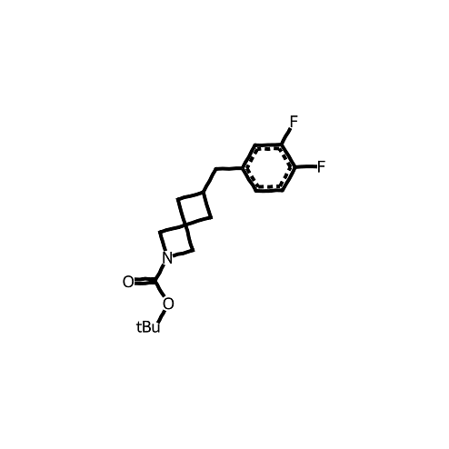 CC(C)(C)OC(=O)N1CC2(CC(Cc3ccc(F)c(F)c3)C2)C1